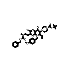 CCc1c(N2CCN(C(=O)OC(C)(C)C)CC2)c(=O)c2nc(Br)c(CCN(C)C(=O)OCc3ccccc3)nc2n1Cc1ccc(OC)cc1